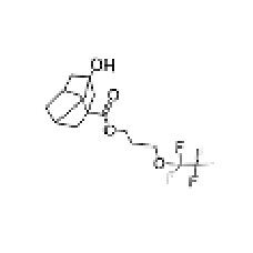 CC(F)(F)C(F)(F)OCCCOC(=O)C12CC3CC(CC(O)(C3)C1)C2